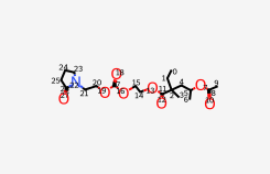 CCC(C)(CC(C)OC(C)=O)C(=O)OCCOC(=O)OCCN1CCCC1=O